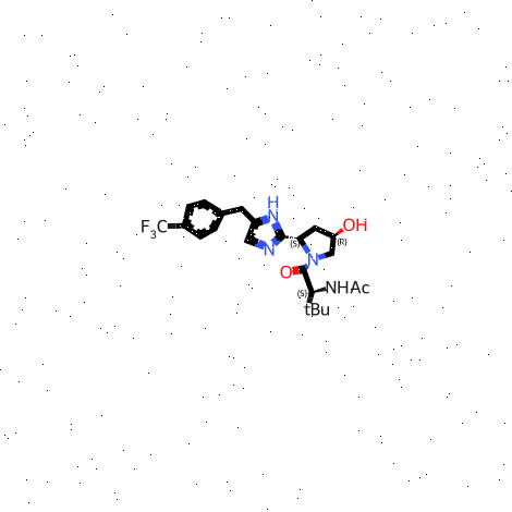 CC(=O)N[C@H](C(=O)N1C[C@H](O)C[C@H]1c1ncc(Cc2ccc(C(F)(F)F)cc2)[nH]1)C(C)(C)C